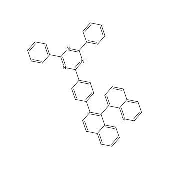 c1ccc(-c2nc(-c3ccccc3)nc(-c3ccc(-c4ccc5ccccc5c4-c4cccc5cccnc45)cc3)n2)cc1